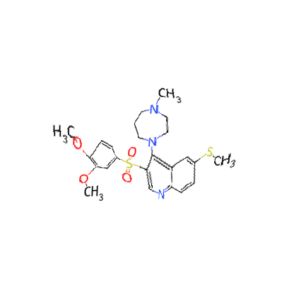 COc1ccc(S(=O)(=O)c2cnc3ccc(SC)cc3c2N2CCCN(C)CC2)cc1OC